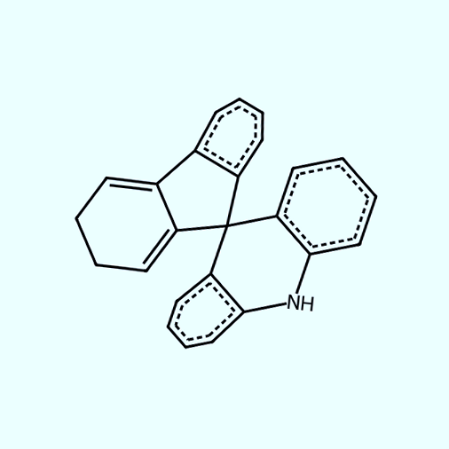 C1=C2C(=CCC1)C1(c3ccccc3Nc3ccccc31)c1ccccc12